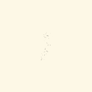 Cc1ncn(C2CCN(C(=O)CCS(=O)(=O)c3ccc4cc(Cl)ccc4c3)CC2)c1C